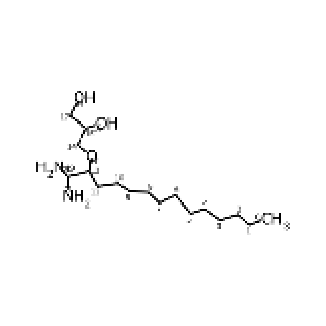 CCCCCCCCCCCCC(OCC(O)CO)C(N)N